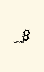 O=[C]Nc1ccc2ccccc2n1